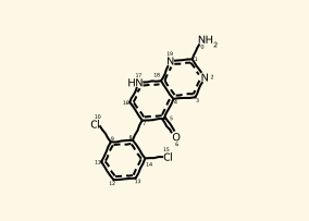 Nc1ncc2c(=O)c(-c3c(Cl)cccc3Cl)c[nH]c2n1